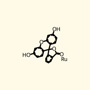 O=C1OC2(c3ccc(O)cc3Oc3cc(O)ccc32)c2ccccc21.[Ru]